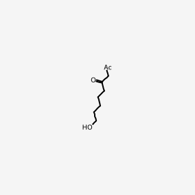 CC(=O)CC(=O)CCCCCO